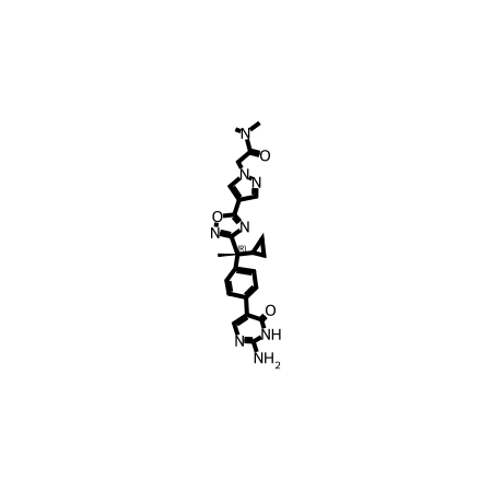 CN(C)C(=O)Cn1cc(-c2nc([C@@](C)(c3ccc(-c4cnc(N)[nH]c4=O)cc3)C3CC3)no2)cn1